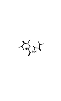 C=C(NCN(C)C(=C)C(C)C)NC(C)C(=C)C(C)C